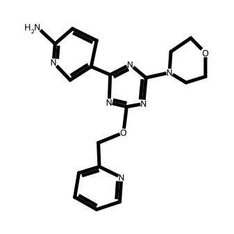 Nc1ccc(-c2nc(OCc3ccccn3)nc(N3CCOCC3)n2)cn1